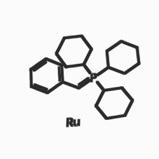 C(c1ccccc1)=P(C1CCCCC1)(C1CCCCC1)C1CCCCC1.[Ru]